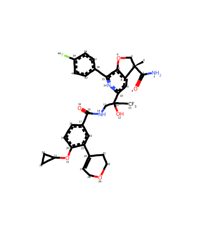 C[C@]1(C(N)=O)COc2c1cc(C(O)(CNC(=O)c1ccc(OC3CC3)c(C3=CCOCC3)c1)C(F)(F)F)nc2-c1ccc(F)cc1